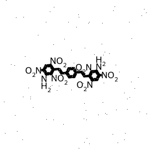 Nc1c([N+](=O)[O-])cc([N+](=O)[O-])c(C=Cc2ccc(C=Cc3c([N+](=O)[O-])cc([N+](=O)[O-])c(N)c3[N+](=O)[O-])cc2)c1[N+](=O)[O-]